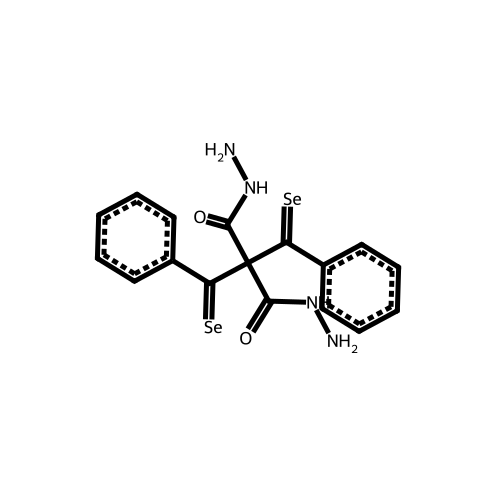 NNC(=O)C(C(=O)NN)(C(=[Se])c1ccccc1)C(=[Se])c1ccccc1